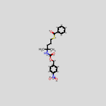 CC(C)(CCCSC(=O)c1ccccc1)NC(=O)OCc1ccc([N+](=O)[O-])cc1